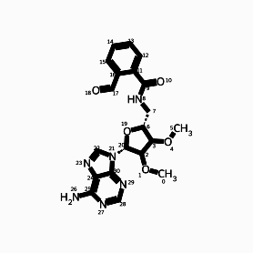 COC1C(OC)[C@@H](CNC(=O)c2ccccc2C=O)O[C@H]1n1cnc2c(N)ncnc21